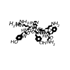 N=C(N)NCCC[C@@H](NC(=O)[C@H](Cc1c[nH]cn1)NC(=O)[C@H](Cc1ccc(O)cc1)NC(=O)[C@H](CCCCN)NC(=O)[C@@H](Cc1ccccc1)NC(=O)CN)C(=O)N[C@@H](Cc1ccc(O)cc1)C(N)=O